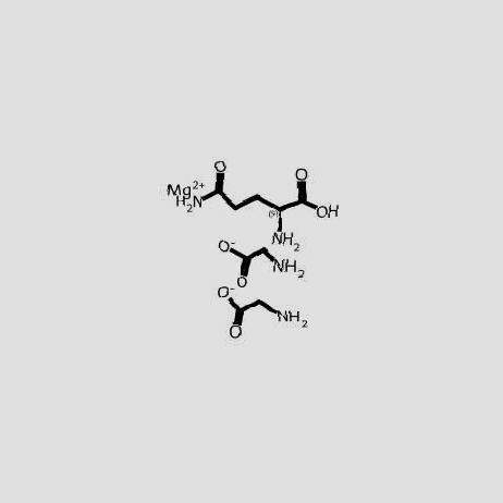 NC(=O)CC[C@H](N)C(=O)O.NCC(=O)[O-].NCC(=O)[O-].[Mg+2]